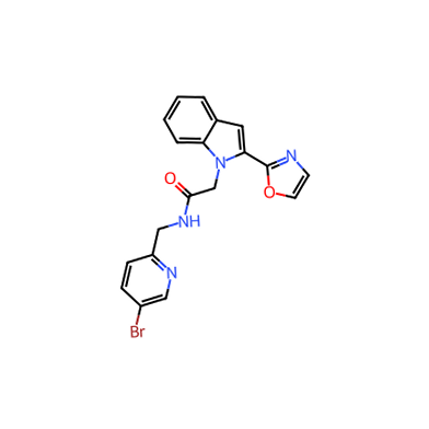 O=C(Cn1c(-c2ncco2)cc2ccccc21)NCc1ccc(Br)cn1